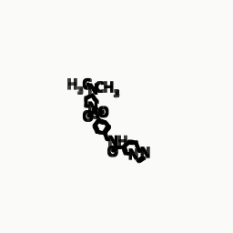 CN(C)[C@H]1CCN(S(=O)(=O)c2ccc(CNC(=O)c3ccc4nccn4c3)cc2)C1